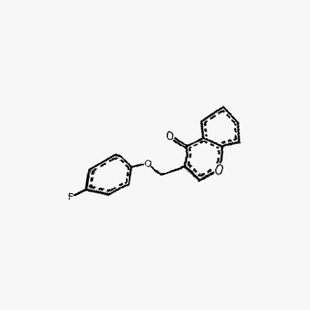 O=c1c(COc2ccc(F)cc2)coc2ccccc12